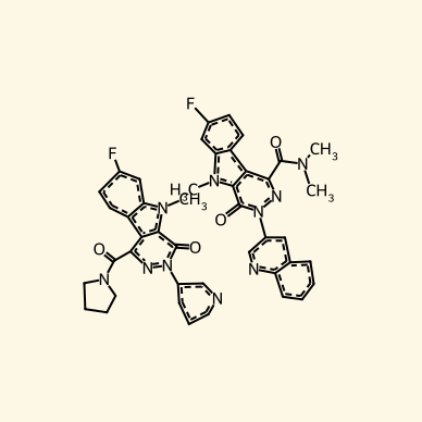 CN(C)C(=O)c1nn(-c2cnc3ccccc3c2)c(=O)c2c1c1ccc(F)cc1n2C.Cn1c2cc(F)ccc2c2c(C(=O)N3CCCC3)nn(-c3cccnc3)c(=O)c21